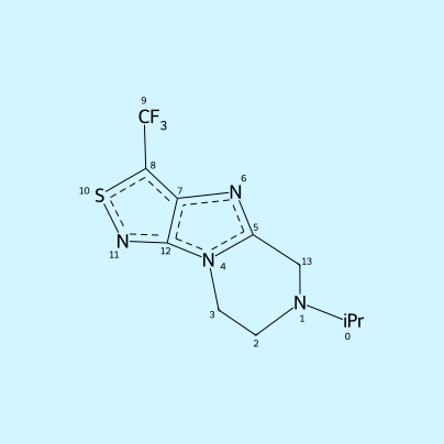 CC(C)N1CCn2c(nc3c(C(F)(F)F)snc32)C1